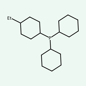 CCC1CCC(P(C2CCCCC2)C2CCCCC2)CC1